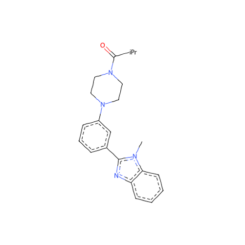 CC(C)C(=O)N1CCN(c2cccc(-c3nc4ccccc4n3C)c2)CC1